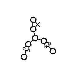 CC1(C)c2ccccc2-c2ccc(-c3cc(-c4ccc5oc(-c6ccccc6)nc5c4)cc(-c4ccc5oc(-c6ccccc6)nc5c4)c3)cc21